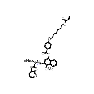 C=CC(=O)OCCCCCCOc1ccc(C(=O)Oc2cc(/C=N/N(CCCCCC)c3nc4cccnc4s3)c(OC)c3ccccc23)cc1